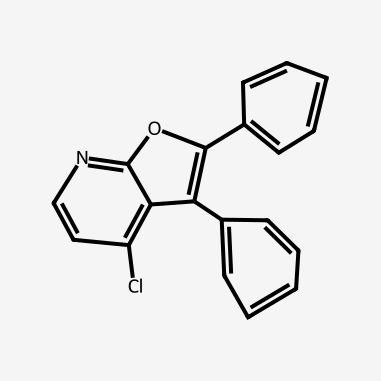 Clc1ccnc2oc(-c3ccccc3)c(-c3ccccc3)c12